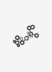 C1=CC(c2cccc3c2Oc2ccccc2C32c3ccccc3-c3ccccc32)CC=C1c1nc(-c2ccccc2)cc(-c2cccc3ccccc23)n1